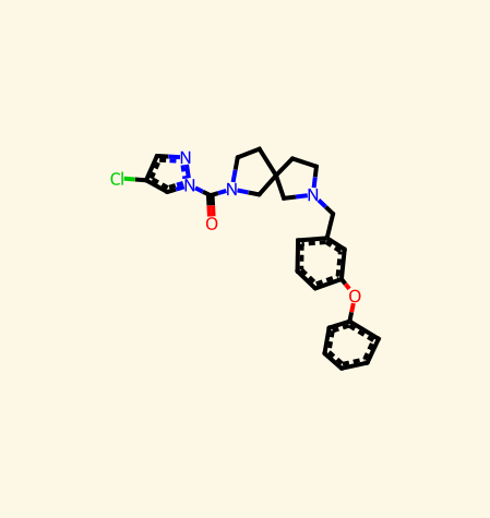 O=C(N1CCC2(CCN(Cc3cccc(Oc4ccccc4)c3)C2)C1)n1cc(Cl)cn1